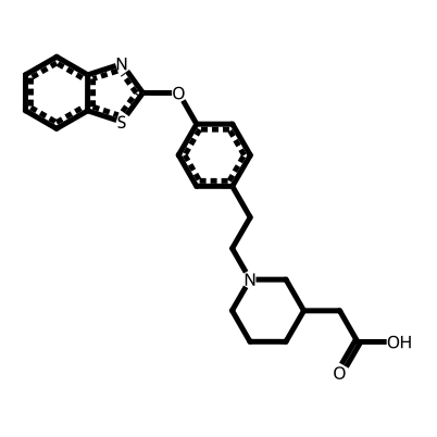 O=C(O)CC1CCCN(CCc2ccc(Oc3nc4ccccc4s3)cc2)C1